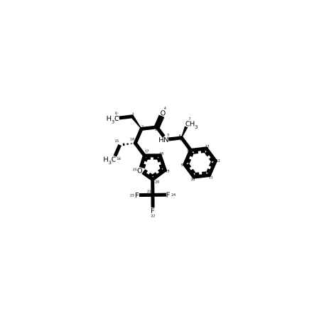 CC[C@@H](C(=O)N[C@@H](C)c1ccccc1)[C@@H](CC)c1ccc(C(F)(F)F)o1